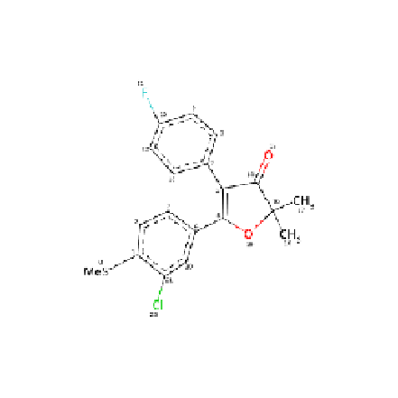 CSc1ccc(C2=C(c3ccc(F)cc3)C(=O)C(C)(C)O2)cc1Cl